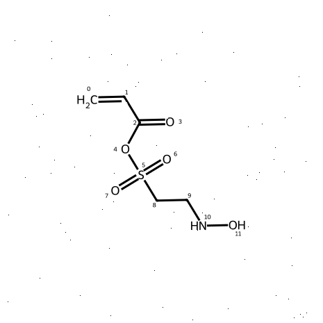 C=CC(=O)OS(=O)(=O)CCNO